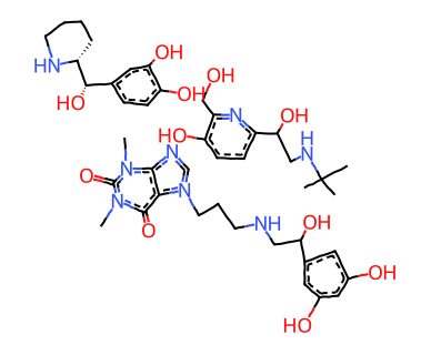 CC(C)(C)NCC(O)c1ccc(O)c(CO)n1.Cn1c(=O)c2c(ncn2CCCNCC(O)c2cc(O)cc(O)c2)n(C)c1=O.Oc1ccc([C@H](O)[C@H]2CCCCN2)cc1O